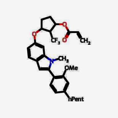 C=CC(=O)OC1CCC(Oc2ccc3cc(-c4ccc(CCCCC)cc4OC)n(C)c3c2)C1C(F)(F)F